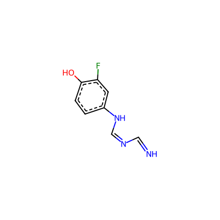 N=C/N=C\Nc1ccc(O)c(F)c1